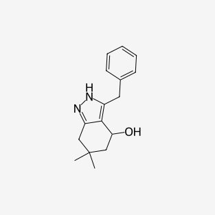 CC1(C)Cc2n[nH]c(Cc3ccccc3)c2C(O)C1